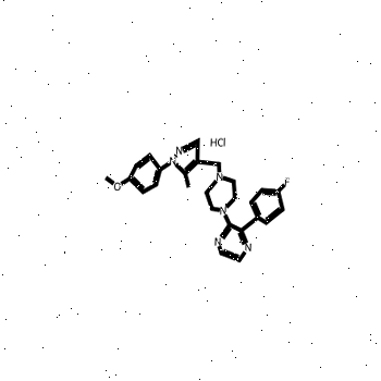 COc1ccc(-n2ncc(CN3CCN(c4nccnc4-c4ccc(F)cc4)CC3)c2C)cc1.Cl